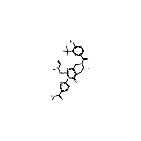 C=C[C@H](C)Nc1nc2c(c(=O)n1-c1ncc(C(=O)NC)cn1)C[C@@H](C)N(C(=O)c1ccc(Br)c(C(F)(F)F)c1)C2